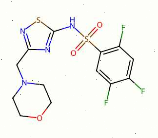 O=S(=O)(Nc1nc(CN2CCOCC2)ns1)c1cc(F)c(F)cc1F